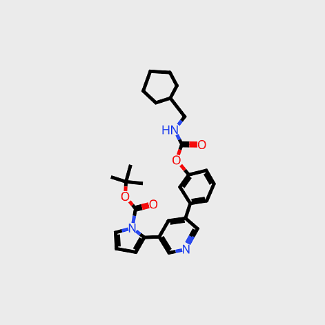 CC(C)(C)OC(=O)n1cccc1-c1cncc(-c2cccc(OC(=O)NCC3CCCCC3)c2)c1